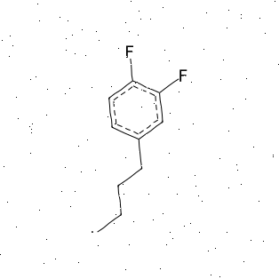 [CH2]CCCc1ccc(F)c(F)c1